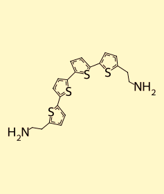 NCCc1ccc(-c2ccc(-c3ccc(-c4ccc(CCN)s4)s3)s2)s1